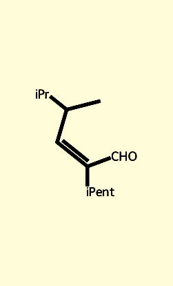 CCCC(C)/C(C=O)=C/C(C)C(C)C